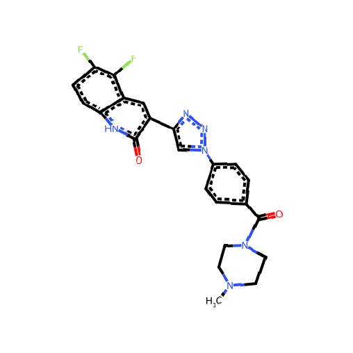 CN1CCN(C(=O)c2ccc(-n3cc(-c4cc5c(F)c(F)ccc5[nH]c4=O)nn3)cc2)CC1